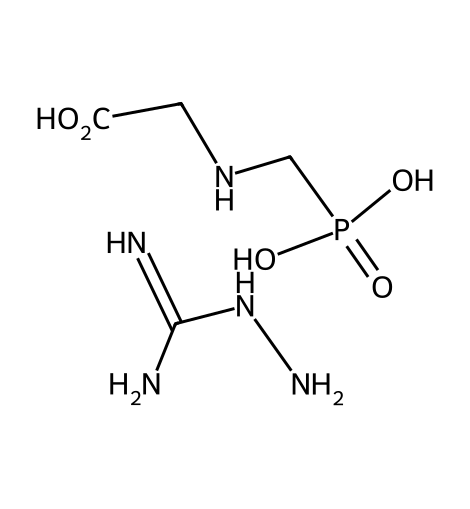 N=C(N)NN.O=C(O)CNCP(=O)(O)O